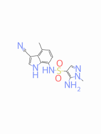 Cc1ccc(NS(=O)(=O)c2cnn(C)c2N)c2[nH]cc(C#N)c12